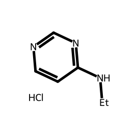 CCNc1ccncn1.Cl